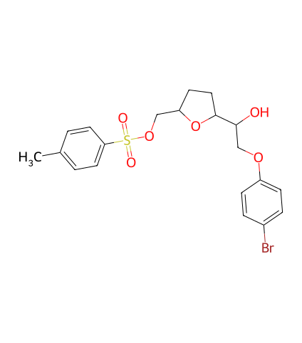 Cc1ccc(S(=O)(=O)OCC2CCC(C(O)COc3ccc(Br)cc3)O2)cc1